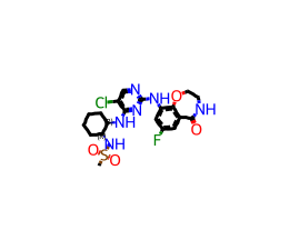 CS(=O)(=O)N[C@@H]1CCCC[C@H]1Nc1nc(Nc2cc(F)cc3c2OCCNC3=O)ncc1Cl